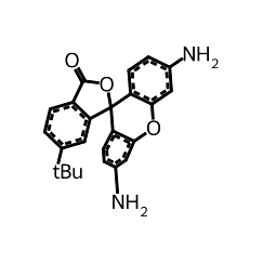 CC(C)(C)c1ccc2c(c1)C1(OC2=O)c2ccc(N)cc2Oc2cc(N)ccc21